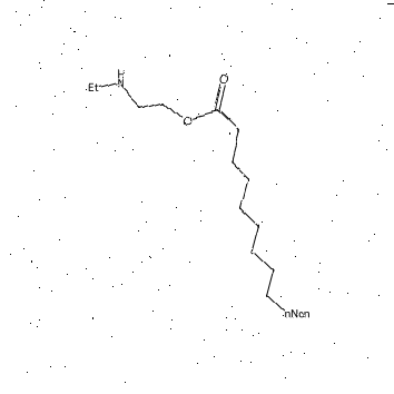 CCCCCCCCCCCCCCCCCC(=O)OCCNCC